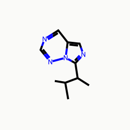 CC(C)C(C)c1ncc2cncnn12